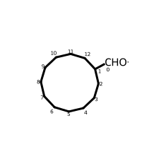 O=[C]C1CCCCCCCCCCC1